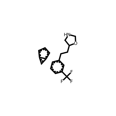 FC(F)(F)c1cccc(CCC2CNCO2)c1.c1cc2cc-2c1